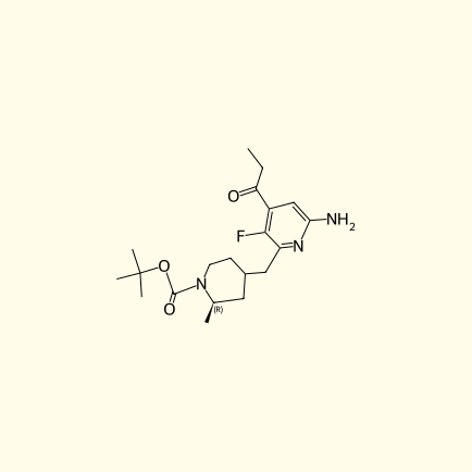 CCC(=O)c1cc(N)nc(CC2CCN(C(=O)OC(C)(C)C)[C@H](C)C2)c1F